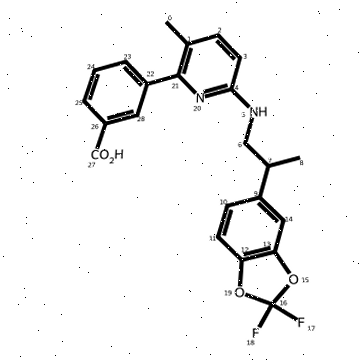 Cc1ccc(NCC(C)c2ccc3c(c2)OC(F)(F)O3)nc1-c1cccc(C(=O)O)c1